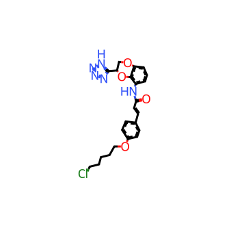 O=C(C=Cc1ccc(OCCCCCCl)cc1)Nc1cccc2c1OC(c1nnn[nH]1)CO2